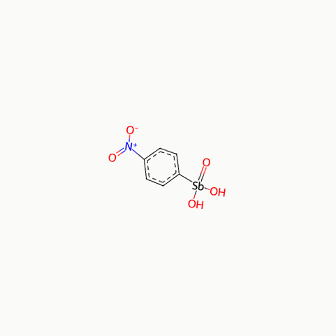 O=[N+]([O-])c1cc[c]([Sb](=[O])([OH])[OH])cc1